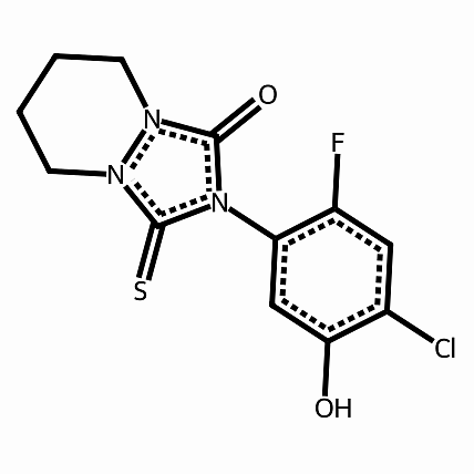 O=c1n(-c2cc(O)c(Cl)cc2F)c(=S)n2n1CCCC2